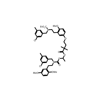 CCOC(=O)N(CCc1cc(OCCC(C)(C)C(=O)OC(C)OC(=O)N(CCc2cc(OC)ccc2OC)Cc2cc(C)cc(Cl)c2)ccc1OC)Cc1cc(C)cc(Cl)c1